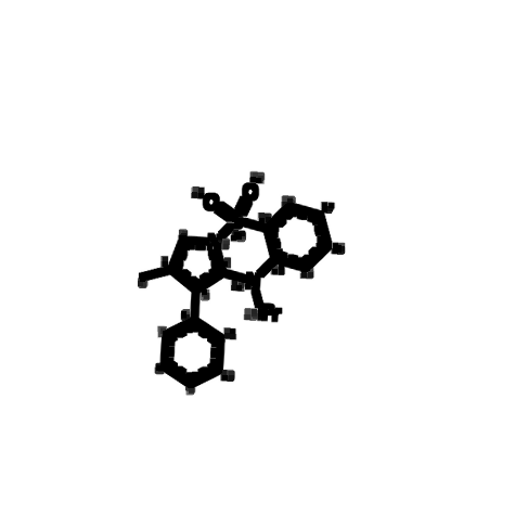 Cc1cn2c(c1-c1ccccc1)N(C(C)C)c1ccccc1S2(=O)=O